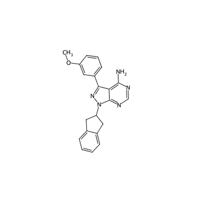 COc1cccc(-c2nn(C3Cc4ccccc4C3)c3ncnc(N)c23)c1